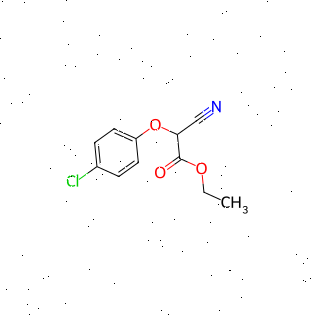 CCOC(=O)C(C#N)Oc1ccc(Cl)cc1